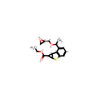 CCOC(=O)C1C2Sc3cccc(C(C)OC[C@H]4CO4)c3C21